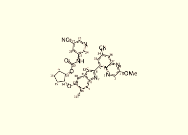 COc1cnc2c(-c3nc4cc(F)c(O[C@@H]5CCC[C@@H]5OC(=O)Nc5cncc(C#N)c5)cc4s3)cc(C#N)cc2n1